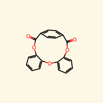 O=c1oc2ccccc2oc2ccccc2oc(=O)c2ccc1cc2